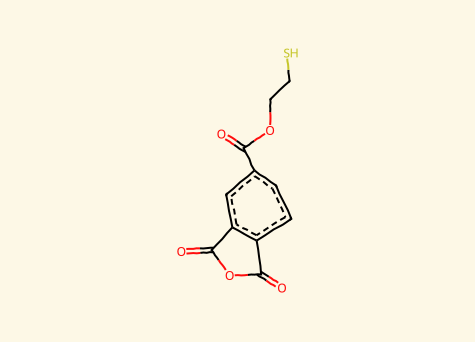 O=C(OCCS)c1ccc2c(c1)C(=O)OC2=O